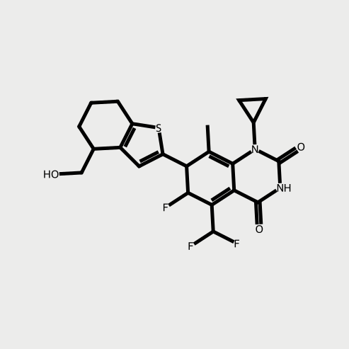 CC1=c2c(c(=O)[nH]c(=O)n2C2CC2)=C(C(F)F)C(F)C1c1cc2c(s1)CCCC2CO